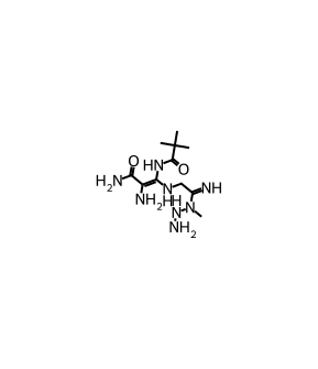 CN(NN)C(=N)CN/C(NC(=O)C(C)(C)C)=C(\N)C(N)=O